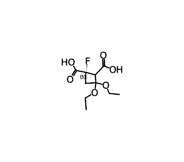 CCOC1(OCC)C[C@@](F)(C(=O)O)C1C(=O)O